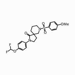 COc1ccc(S(=O)(=O)N2CCCC3(CCN(c4ccc(OC(F)F)cc4)C3=O)C2)cc1